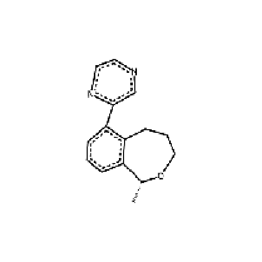 C[C@H]1OCCCc2c(-c3cnccn3)cccc21